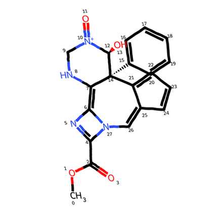 COC(=O)C1=NC2=C3NC[N+](=O)[C@@H](O)[C@@]3(c3ccccc3)C3=CC=CC3=CN12